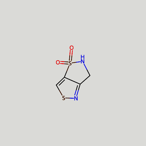 O=S1(=O)NCc2nscc21